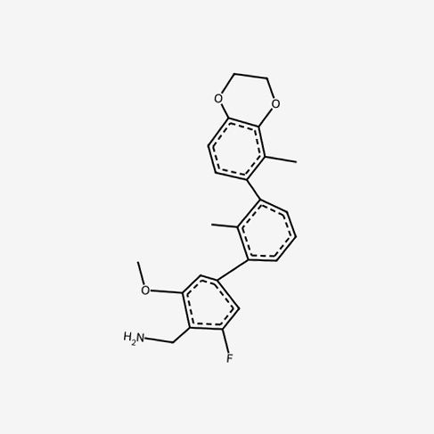 COc1cc(-c2cccc(-c3ccc4c(c3C)OCCO4)c2C)cc(F)c1CN